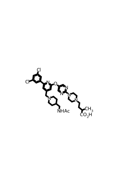 CC(=O)NCC1CCN(Cc2cc(Oc3cnc(N4CCN(CCC(C)C(=O)O)CC4)nc3)nc(-c3cc(Cl)cc(Cl)c3)c2)CC1